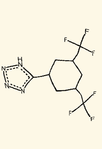 FC(F)(F)C1CC(c2nnn[nH]2)CC(C(F)(F)F)C1